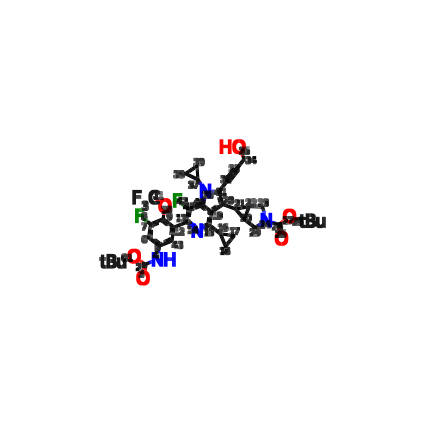 CC(C)(C)OC(=O)Nc1cc(F)c(OC(F)(F)F)c(-c2nc(C3CC3)c3c(C4C5CN(C(=O)OC(C)(C)C)CC54)c(C#CCO)n(C4CC4)c3c2F)c1